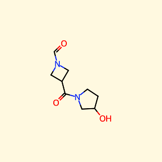 O=CN1CC(C(=O)N2CCC(O)C2)C1